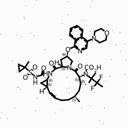 C[C@H]1CCC=C[C@@H]2C[C@@]2(C(=O)NS(=O)(=O)C2(C)CC2)NC(=O)[C@@H]2C[C@@H](Oc3ncc(N4CCOCC4)c4ccccc34)CN2C(=O)[C@@H](N(C(=O)O)C(C)(C)C(C)(F)F)[C@H](C)C1